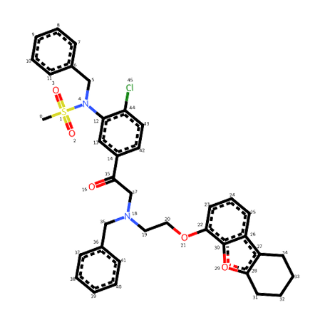 CS(=O)(=O)N(Cc1ccccc1)c1cc(C(=O)CN(CCOc2cccc3c4c(oc23)CCCC4)Cc2ccccc2)ccc1Cl